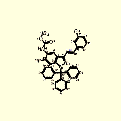 CC(C)(C)OC(=O)Nc1cc2c(/C=C/c3cccc(F)c3)nn(C(c3ccccc3)(c3ccccc3)c3ccccc3)c2cc1F